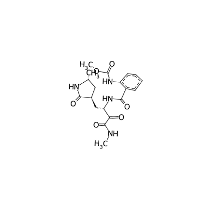 CNC(=O)C(=O)[C@H](C[C@@H]1C[C@@H](C)NC1=O)NC(=O)c1ccccc1NC(=O)OC